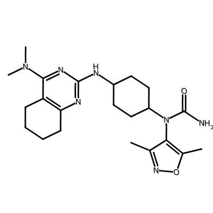 Cc1noc(C)c1N(C(N)=O)C1CCC(Nc2nc3c(c(N(C)C)n2)CCCC3)CC1